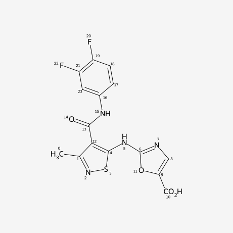 Cc1nsc(Nc2ncc(C(=O)O)o2)c1C(=O)Nc1ccc(F)c(F)c1